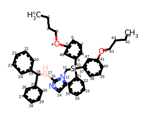 CCCCOc1cccc([Si](Cn2ccnc2BC(c2ccccc2)c2ccccc2)(c2ccccc2)c2cccc(OCCCC)c2)c1